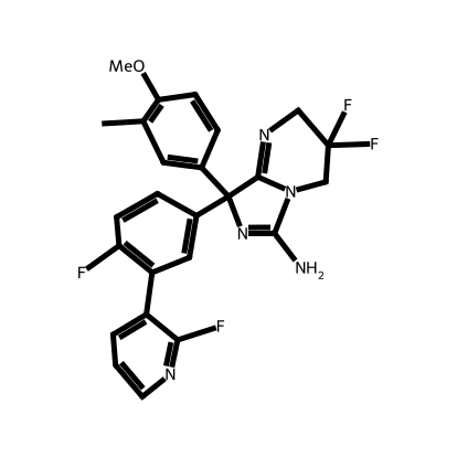 COc1ccc(C2(c3ccc(F)c(-c4cccnc4F)c3)N=C(N)N3CC(F)(F)CN=C32)cc1C